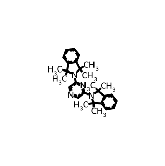 CC1(C)c2ccccc2C(C)(C)N1c1cncc(N2C(C)(C)c3ccccc3C2(C)C)n1